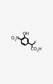 O=C(O)C(F)c1ccc([N+](=O)[O-])c(O)c1